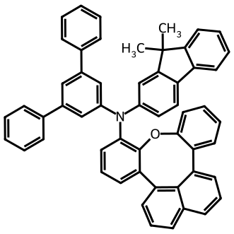 CC1(C)c2ccccc2-c2ccc(N(c3cc(-c4ccccc4)cc(-c4ccccc4)c3)c3cccc4c3Oc3ccccc3-c3cccc5cccc-4c35)cc21